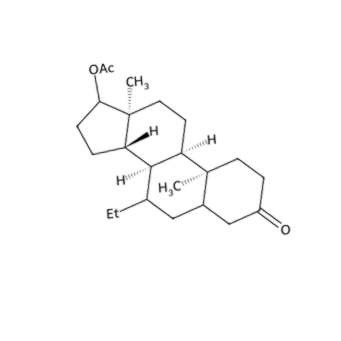 CCC1CC2CC(=O)CC[C@]2(C)[C@@H]2CC[C@]3(C)C(OC(C)=O)CC[C@H]3[C@H]12